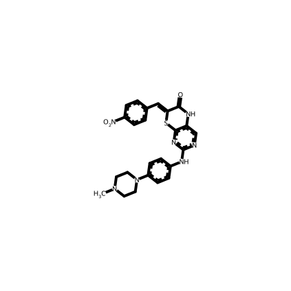 CN1CCN(c2ccc(Nc3ncc4c(n3)S/C(=C\c3ccc([N+](=O)[O-])cc3)C(=O)N4)cc2)CC1